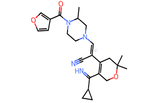 CC1CN(/C=C(\C#N)C2=C(C(=N)C3CC3)COC(C)(C)C2)CCN1C(=O)c1ccoc1